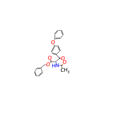 CC(=O)NC(C(=O)OCc1ccccc1)C(=O)c1ccc(Oc2ccccc2)cc1